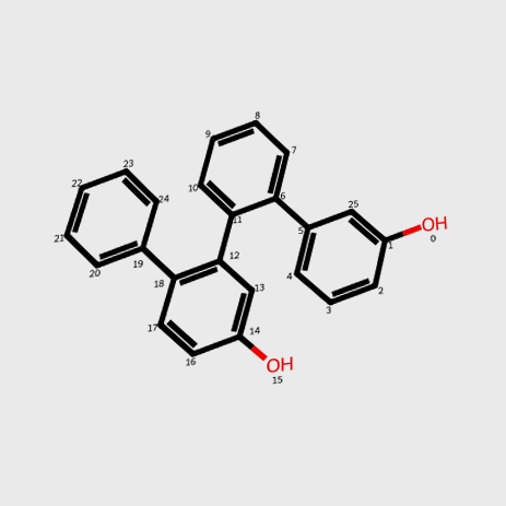 Oc1cccc(-c2ccccc2-c2cc(O)ccc2-c2ccccc2)c1